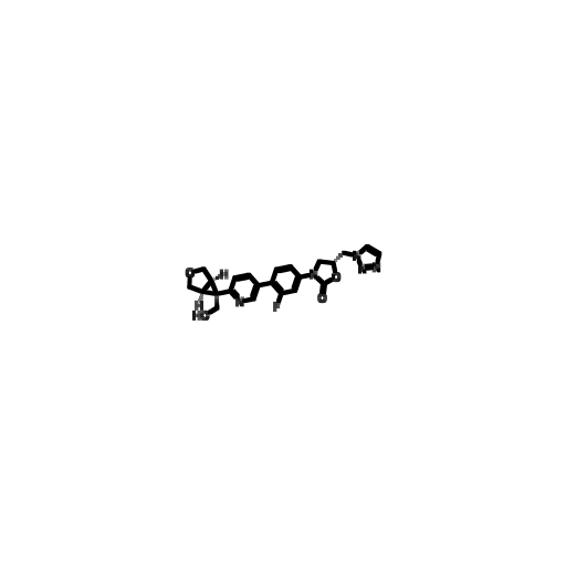 O=C1O[C@@H](Cn2ccnn2)CN1c1ccc(-c2ccc([C@@]3(CO)[C@@H]4COC[C@@H]43)nc2)c(F)c1